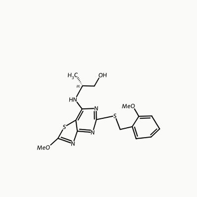 COc1nc2nc(SCc3ccccc3OC)nc(N[C@H](C)CO)c2s1